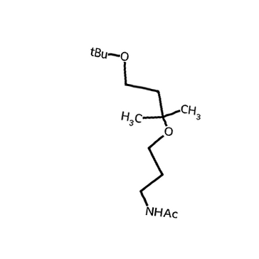 CC(=O)NCCCOC(C)(C)CCOC(C)(C)C